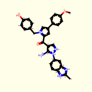 COc1ccc(-c2cc(C(=O)c3cnn(-c4ccc5[nH]c(C)nc5c4)c3N)n(Cc3ccc(O)cc3)c2)cc1